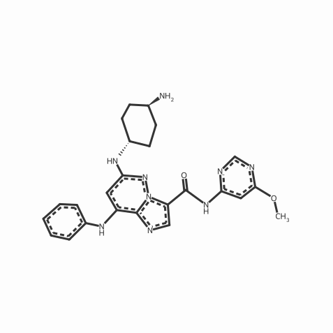 COc1cc(NC(=O)c2cnc3c(Nc4ccccc4)cc(N[C@H]4CC[C@H](N)CC4)nn23)ncn1